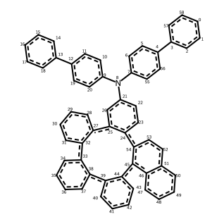 c1ccc(-c2ccc(N(c3ccc(-c4ccccc4)cc3)c3ccc4c(c3)c3ccccc3c3ccccc3c3ccccc3c3c5ccccc5ccc43)cc2)cc1